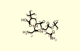 C[C@H](N)C(=O)N[C@@H](CC(C(=O)O)C(C)(C)C)C(=O)N[C@@H](CC(N)=O)C(=O)OC(C)(C)C